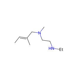 C/C=C(\C)CN(C)CCNCC